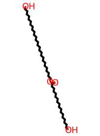 O=C(CCCCCCCCCCCCCCCCCO)OCCCCCCCCCCCCCCCCCCCCCCCCCCCCO